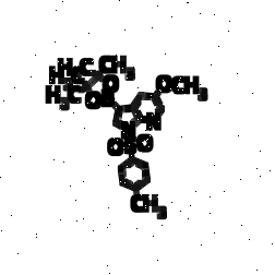 COc1cnc2c(c1)c(B1OC(C)(C)C(C)(C)O1)cn2S(=O)(=O)c1ccc(C)cc1